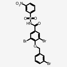 O=C(NS(=O)(=O)c1cccc([N+](=O)[O-])c1)c1cc(Br)c(OCc2cccc(Br)c2)c(Br)c1